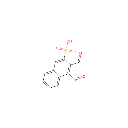 O=[C]c1c(S(=O)(=O)O)cc2ccccc2c1[C]=O